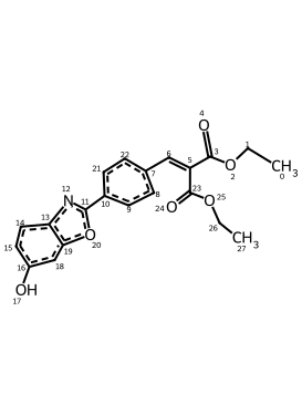 CCOC(=O)C(=Cc1ccc(-c2nc3ccc(O)cc3o2)cc1)C(=O)OCC